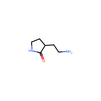 NCCC1CCNC1=O